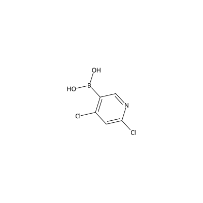 OB(O)c1cnc(Cl)cc1Cl